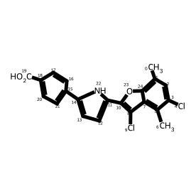 Cc1cc(Cl)c(C)c2c(Cl)c(-c3ccc(-c4ccc(C(=O)O)cc4)[nH]3)oc12